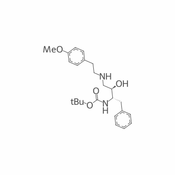 COc1ccc(CCNC[C@@H](O)[C@H](Cc2ccccc2)NC(=O)OC(C)(C)C)cc1